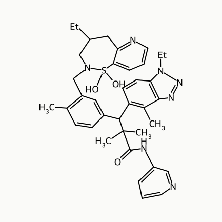 CCC1Cc2ncccc2S(O)(O)N(Cc2cc(C(c3ccc4c(nnn4CC)c3C)C(C)(C)C(=O)Nc3cccnc3)ccc2C)C1